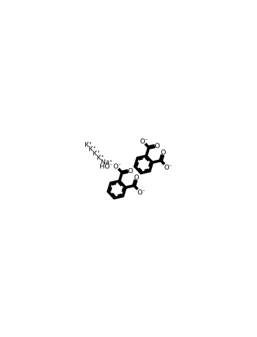 O=C([O-])c1ccccc1C(=O)[O-].O=C([O-])c1ccccc1C(=O)[O-].[K+].[K+].[K+].[K+].[Na+].[OH-]